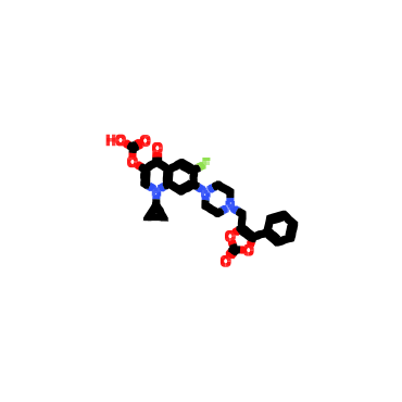 O=C(O)Oc1cn(C2CC2)c2cc(N3CCN(Cc4oc(=O)oc4-c4ccccc4)CC3)c(F)cc2c1=O